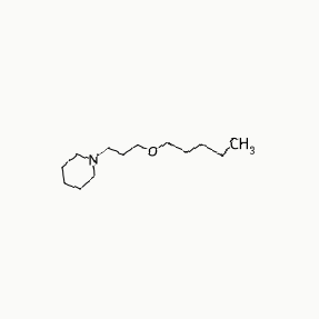 CCCCCOCCCN1CCCCC1